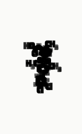 Cc1ccc(S(=O)(=O)N2C(C)CN(c3ccc(Cl)c(Cl)c3)CC2C)cc1CC(=O)O